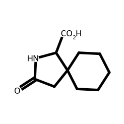 O=C1CC2(CCCCC2)C(C(=O)O)N1